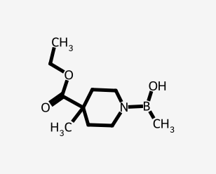 CCOC(=O)C1(C)CCN(B(C)O)CC1